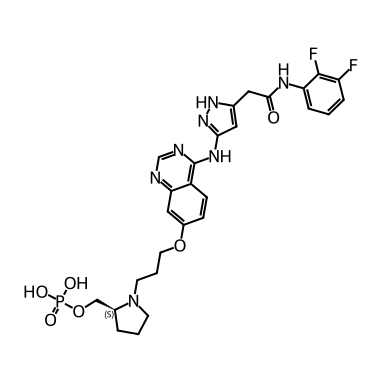 O=C(Cc1cc(Nc2ncnc3cc(OCCCN4CCC[C@H]4COP(=O)(O)O)ccc23)n[nH]1)Nc1cccc(F)c1F